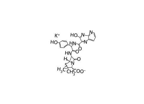 CC1(C)S[C@@H]2C(NC(=O)C(NC(=O)c3nc4cccnc4nc3O)c3ccc(O)cc3)C(=O)N2[C@H]1C(=O)[O-].[K+]